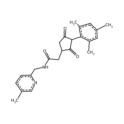 Cc1ccc(CNC(=O)CC2CC(=O)C(c3c(C)cc(C)cc3C)C2=O)nc1